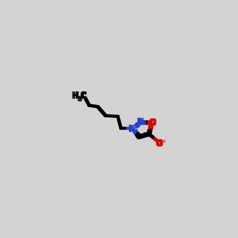 CCCCCC[n+]1cc([O-])on1